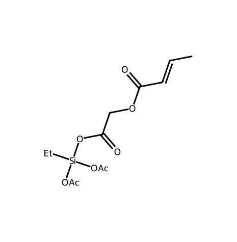 CC=CC(=O)OCC(=O)O[Si](CC)(OC(C)=O)OC(C)=O